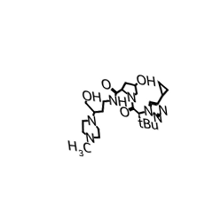 CN1CCN(C(CO)CCNC(=O)C2CC(O)CN2C(=O)[C@@H](n2cc(C3CC3)nn2)C(C)(C)C)CC1